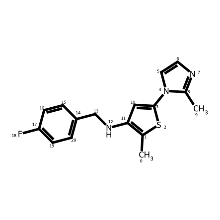 Cc1sc(-n2ccnc2C)cc1NCc1ccc(F)cc1